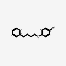 [O]c1ccc(OCCCCc2ccccc2)cc1